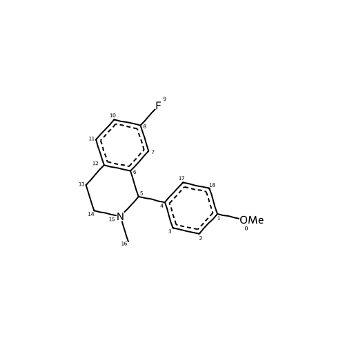 COc1ccc(C2c3cc(F)ccc3CCN2C)cc1